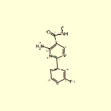 CNC(=O)c1cnc(-c2cccc(F)c2)nc1N